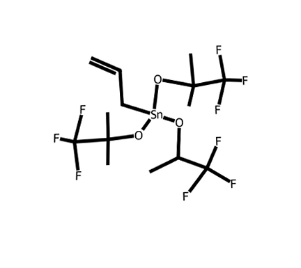 C=C[CH2][Sn]([O]C(C)C(F)(F)F)([O]C(C)(C)C(F)(F)F)[O]C(C)(C)C(F)(F)F